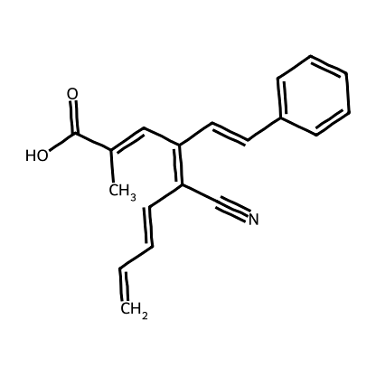 C=CC=CC(C#N)=C(C=Cc1ccccc1)C=C(C)C(=O)O